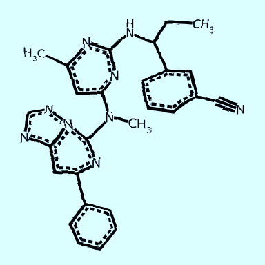 CCC(Nc1nc(C)cc(N(C)c2nc(-c3ccccc3)cc3ncnn23)n1)c1cccc(C#N)c1